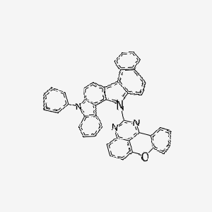 c1ccc(-n2c3ccccc3c3c2ccc2c4c5ccccc5ccc4n(-c4nc5c6c(cccc6n4)Oc4ccccc4-5)c23)cc1